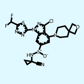 N#CC1(N[S+]([O-])c2cc(N3CCC4(CC3)COC4)c3c(Cl)nn(-c4nnc(C(F)F)s4)c3c2)CC1